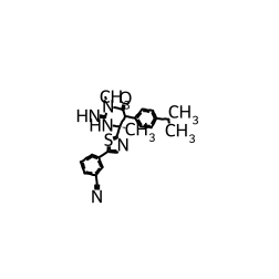 CC(C)c1ccc(C2C(=O)N(C)C(=N)N[C@]2(C)c2ncc(-c3cccc(C#N)c3)s2)cc1